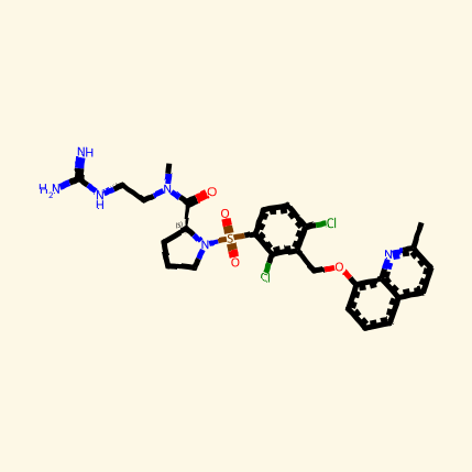 Cc1ccc2cccc(OCc3c(Cl)ccc(S(=O)(=O)N4CCC[C@H]4C(=O)N(C)CCNC(=N)N)c3Cl)c2n1